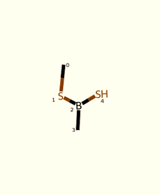 CSB(C)S